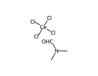 CN(C)C=O.[Cl][Ge]([Cl])([Cl])[Cl]